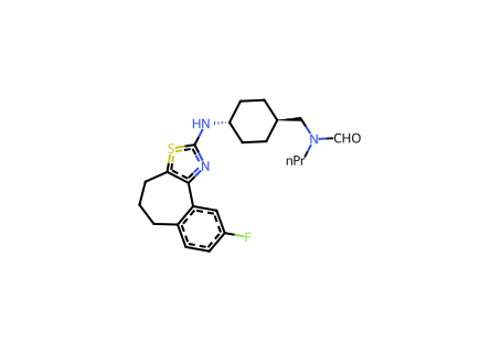 CCCN(C=O)C[C@H]1CC[C@H](Nc2nc3c(s2)CCCc2ccc(F)cc2-3)CC1